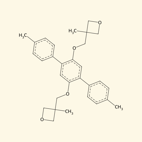 Cc1ccc(-c2cc(OCC3(C)COC3)c(-c3ccc(C)cc3)cc2OCC2(C)COC2)cc1